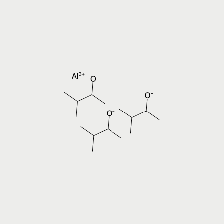 CC(C)C(C)[O-].CC(C)C(C)[O-].CC(C)C(C)[O-].[Al+3]